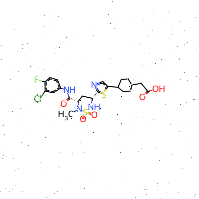 CN1[C@H](C(=O)Nc2ccc(F)c(Cl)c2)C[C@H](c2ncc(C3CCC(CC(=O)O)CC3)s2)NS1(=O)=O